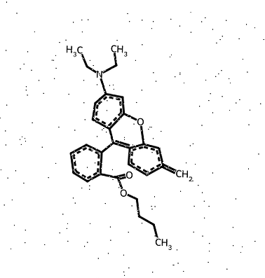 C=c1ccc2c(c1)Oc1cc(N(CC)CC)ccc1C=2c1ccccc1C(=O)OCCCC